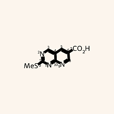 CSc1ncc2cc(C(=O)O)cnc2n1